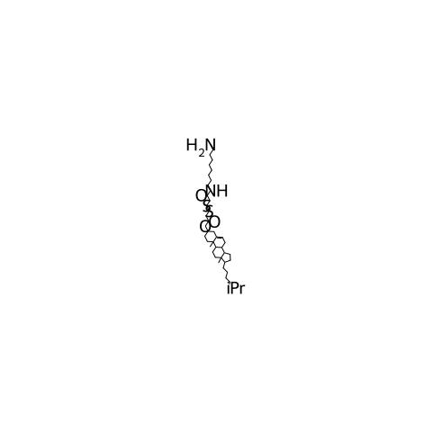 CC(C)CCCCC1CCC2C3CC=C4CC(OC(=O)CSSCC(=O)NCCCCCCCCN)CCC4(C)C3CCC12C